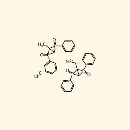 CC12C(P1(=O)c1ccccc1)P2(=O)c1ccccc1.O=P1(c2ccccc2)C2C1([CH2][Ni+2])P2(=O)c1ccccc1.[Cl-].[Cl-]